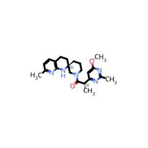 COc1cc([C@H](C)C(=O)N2CCC[C@@]3(CCc4ccc(C)nc4N3)C2)nc(C)n1